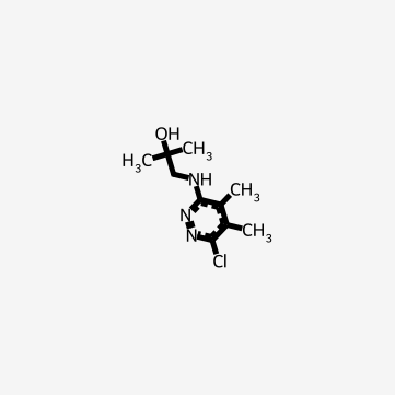 Cc1c(Cl)nnc(NCC(C)(C)O)c1C